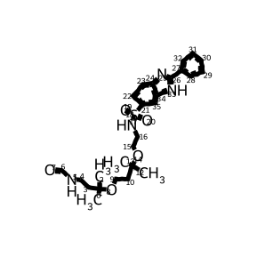 CC(C)(CCNC=O)OCCC(C)(C)OCCNS(=O)(=O)c1ccc2nc(-c3ccccc3)[nH]c2c1